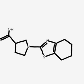 O=C(O)C1CCN(c2nc3c(s2)CCCC3)C1